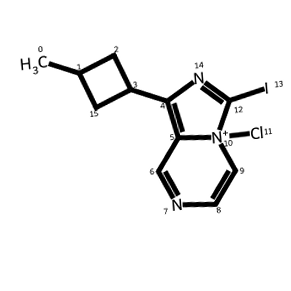 CC1CC(C2=C3C=NC=C[N+]3(Cl)C(I)=N2)C1